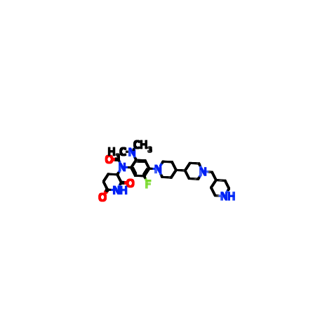 CN(C)c1cc(N2CCC(C3CCN(CC4CCNCC4)CC3)CC2)c(F)cc1N(C=O)C1CCC(=O)NC1=O